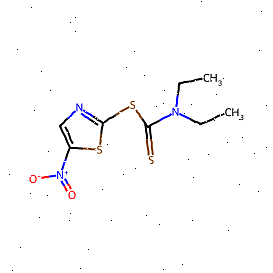 CCN(CC)C(=S)Sc1ncc([N+](=O)[O-])s1